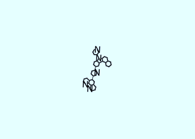 c1cncc(-n2c3ccc(-c4ccc(-c5cc6cccnc6c6ncccc56)cn4)cc3c3c4ccccc4ccc32)c1